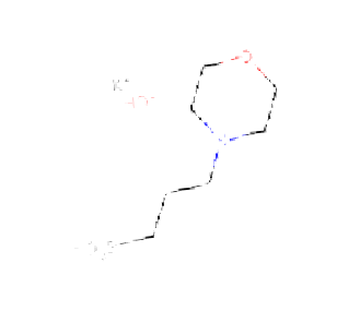 O=S(=O)(O)CCCN1CCOCC1.[K+].[OH-]